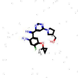 CC1(Oc2cc(C(=N)c3cc(N4CC[C@@H](CO)C4)ncn3)c(N)cc2F)CC1